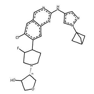 OC1COC[C@H]1N1CCC(c2cc3nc(Nc4cnn(C56CC(C5)C6)c4)ncc3cc2Cl)C(F)C1